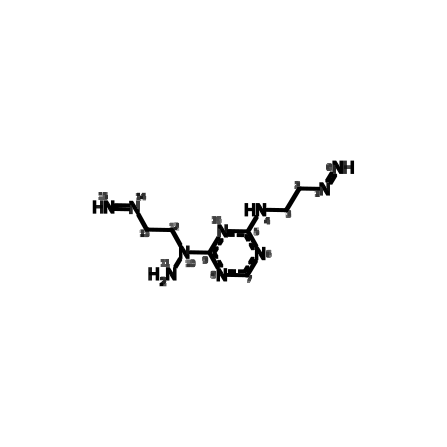 N=NCCNc1ncnc(N(N)CCN=N)n1